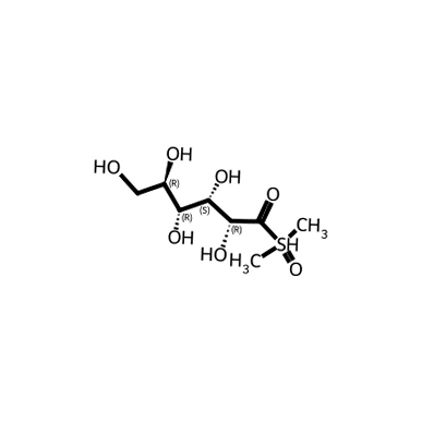 C[SH](C)(=O)C(=O)[C@H](O)[C@@H](O)[C@H](O)[C@H](O)CO